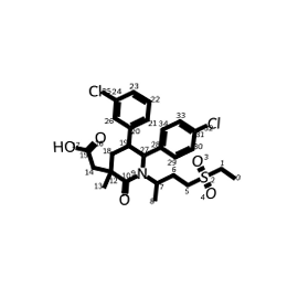 CCS(=O)(=O)CCC(C)N1C(=O)C(C)(CC(=O)O)CC(c2cccc(Cl)c2)C1c1ccc(Cl)cc1